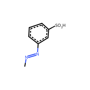 C/N=N/c1cccc(S(=O)(=O)O)c1